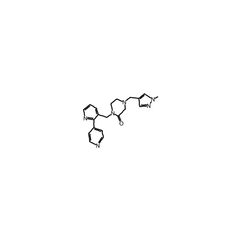 Cn1cc(CN2CCN(Cc3cccnc3-c3ccncc3)C(=O)C2)cn1